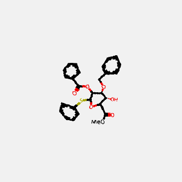 COC(=O)C1OC(Sc2ccccc2)C(OC(=O)c2ccccc2)[C@@H](OCc2ccccc2)[C@@H]1O